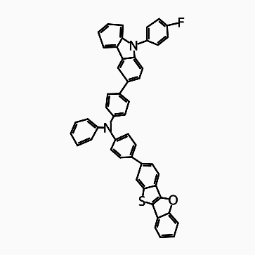 Fc1ccc(-n2c3ccccc3c3cc(-c4ccc(N(c5ccccc5)c5ccc(-c6ccc7c(c6)sc6c8ccccc8oc76)cc5)cc4)ccc32)cc1